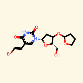 O=c1[nH]c(=O)n([C@@H]2CC(OC3CCCO3)[C@H](CO)O2)cc1C=CBr